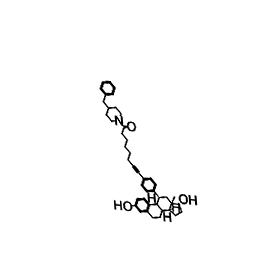 C[C@]12C[C@H](c3ccc(C#CCCCCCC(=O)N4CCC(Cc5ccccc5)CC4)cc3)[C@@H]3c4ccc(O)cc4CC[C@H]3[C@@H]1CC[C@@H]2O